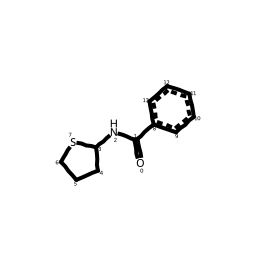 O=C(NC1CCCS1)c1ccccc1